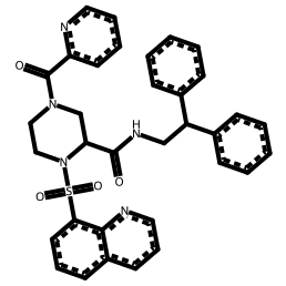 O=C(NCC(c1ccccc1)c1ccccc1)C1CN(C(=O)c2ccccn2)CCN1S(=O)(=O)c1cccc2cccnc12